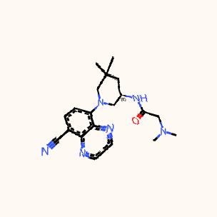 CN(C)CC(=O)N[C@H]1CN(c2ccc(C#N)c3nccnc23)CC(C)(C)C1